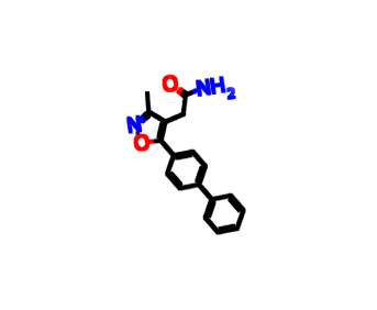 Cc1noc(-c2ccc(-c3ccccc3)cc2)c1CC(N)=O